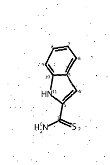 NC(=S)c1cc2ccccc2[nH]1